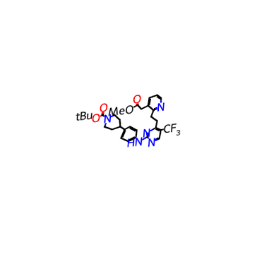 COC(=O)Cc1cccnc1CCc1nc(Nc2ccc(C3CCN(C(=O)OC(C)(C)C)CC3)cc2)ncc1C(F)(F)F